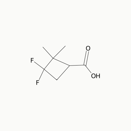 CC1(C)C(C(=O)O)CC1(F)F